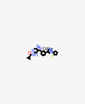 COc1c(-c2cnn([C@@H]3CCC[C@H]3F)c2)cccc1-c1nn(C)c2cnc(NC(=O)C3CC3)cc12